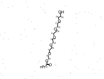 CCCC(=O)OCCOCCOCCOCCOCCOCCO